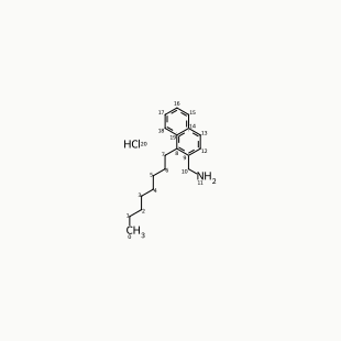 CCCCCCCCc1c(CN)ccc2ccccc12.Cl